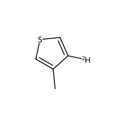 [2H]c1cscc1C